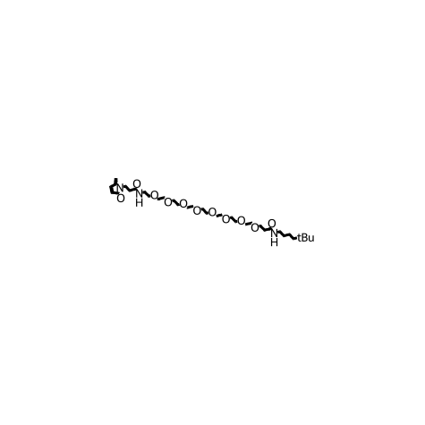 C=C1C=CC(=O)N1CCC(=O)NCCOCCOCCOCCOCCOCCOCCOCCOCCC(=O)NCCCCC(C)(C)C